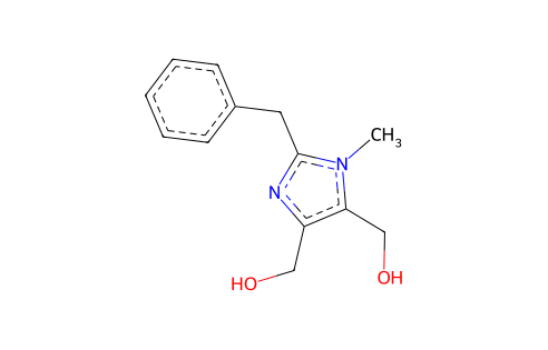 Cn1c(Cc2ccccc2)nc(CO)c1CO